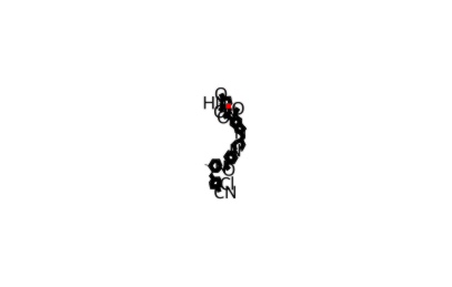 C[C@@H]1CCN(C(=O)c2ccc(N3CCC(CN4Cc5cc6c(cc5C4)C(=O)N(C4CCC(=O)NC4=O)C6=O)CC3)cc2)C[C@H]1Cc1ccc(C#N)c(Cl)c1